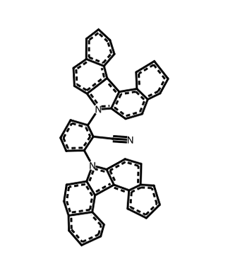 N#Cc1c(-n2c3ccc4ccccc4c3c3c4ccccc4ccc32)cccc1-n1c2ccc3ccccc3c2c2c3ccccc3ccc21